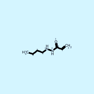 C=CC(=O)NNCCCC